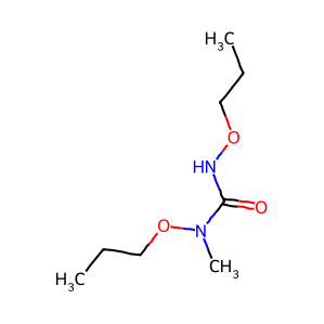 CCCONC(=O)N(C)OCCC